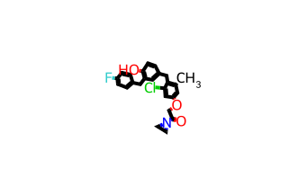 Cc1cc(OCC(=O)N2CC2)cc(Cl)c1Cc1ccc(O)c(Cc2ccc(F)cc2)c1